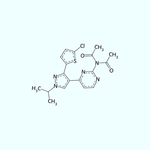 CC(=O)N(C(C)=O)c1nccc(-c2cn(C(C)C)nc2-c2ccc(Cl)s2)n1